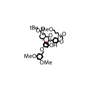 COCCCN1C(=O)COc2ccc(N(C(=O)C3CN(C(=O)OC(C)(C)C)CC[C@@H]3c3cc(O)cc(OCc4cc(OC)cc(OC)c4)c3)C3CC3)cc21